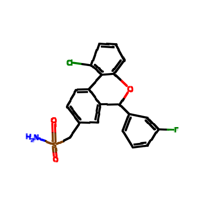 NS(=O)(=O)Cc1ccc2c(c1)C(c1cccc(F)c1)Oc1cccc(Cl)c1-2